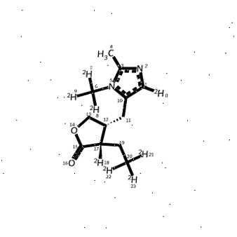 [2H]c1nc(C)n(C([2H])([2H])[2H])c1C[C@H]1COC(=O)[C@@]1([2H])CC([2H])([2H])[2H]